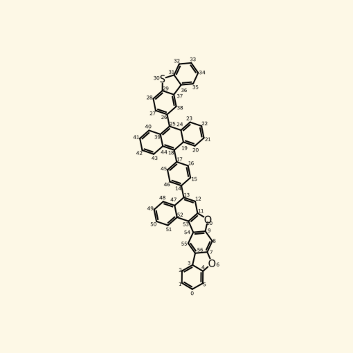 c1ccc2c(c1)oc1cc3oc4cc(-c5ccc(-c6c7ccccc7c(-c7ccc8sc9ccccc9c8c7)c7ccccc67)cc5)c5ccccc5c4c3cc12